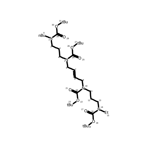 CCCCN(CCCN(C/C=C/CN(CCCN(CC)C(=O)OC(C)(C)C)C(=O)OC(C)(C)C)C(=O)OC(C)(C)C)C(=O)OC(C)(C)C